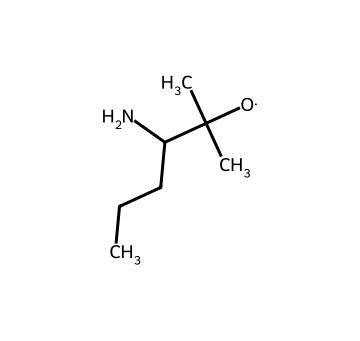 CCCC(N)C(C)(C)[O]